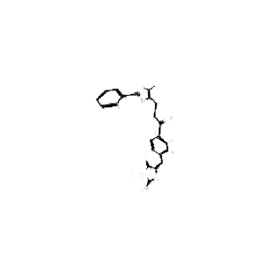 Cc1oc(-c2ccccc2)nc1CCC(=O)c1ccc(C=C2SC(=O)NC2=O)cc1